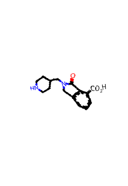 O=C(O)c1cccc2c1C(=O)N(CC1CCNCC1)C2